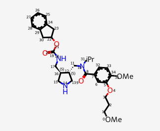 COCCCOc1cc(C(=O)N(C[C@@H]2CNC[C@H]2CNC(=O)OC2Cc3ccccc3C2)C(C)C)ccc1OC